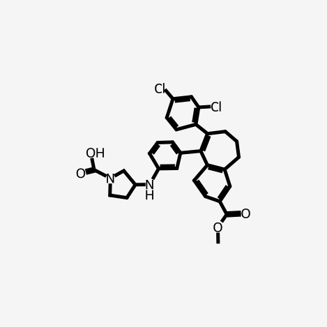 COC(=O)c1ccc2c(c1)CCCC(c1ccc(Cl)cc1Cl)=C2c1cccc(NC2CCN(C(=O)O)C2)c1